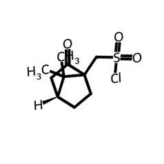 CC1(C)[C@@H]2CCC1(CS(=O)(=O)Cl)C(=O)C2